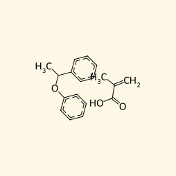 C=C(C)C(=O)O.CC(Oc1ccccc1)c1ccccc1